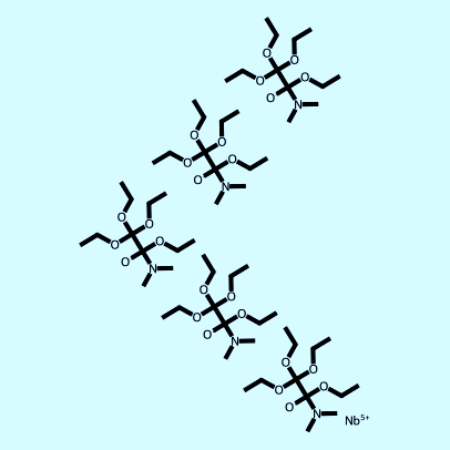 CCOC(OCC)(OCC)C([O-])(OCC)N(C)C.CCOC(OCC)(OCC)C([O-])(OCC)N(C)C.CCOC(OCC)(OCC)C([O-])(OCC)N(C)C.CCOC(OCC)(OCC)C([O-])(OCC)N(C)C.CCOC(OCC)(OCC)C([O-])(OCC)N(C)C.[Nb+5]